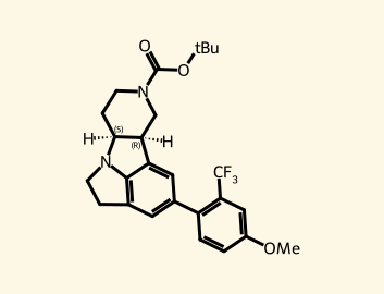 COc1ccc(-c2cc3c4c(c2)[C@@H]2CN(C(=O)OC(C)(C)C)CC[C@@H]2N4CC3)c(C(F)(F)F)c1